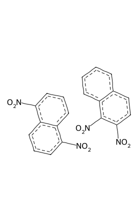 O=[N+]([O-])c1ccc2ccccc2c1[N+](=O)[O-].O=[N+]([O-])c1cccc2c([N+](=O)[O-])cccc12